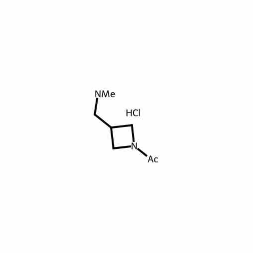 CNCC1CN(C(C)=O)C1.Cl